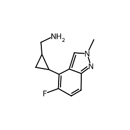 Cn1cc2c(C3CC3CN)c(F)ccc2n1